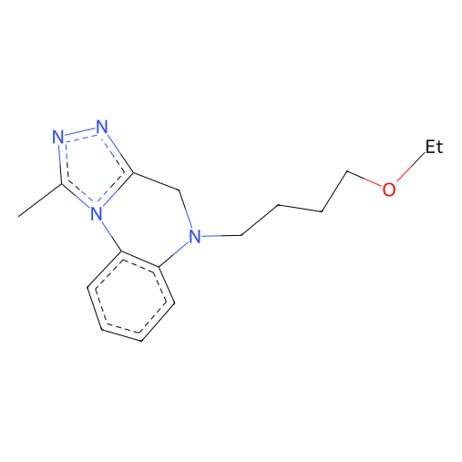 CCOCCCCN1Cc2nnc(C)n2-c2ccccc21